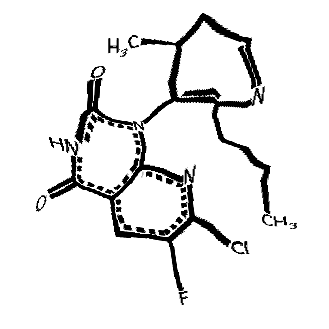 CCCC1=C(n2c(=O)[nH]c(=O)c3cc(F)c(Cl)nc32)[C@@H](C)CC=N1